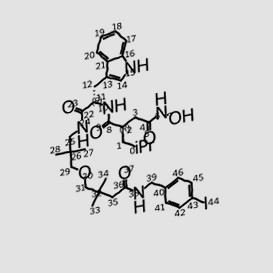 CC(C)C[C@H](CC(=O)NO)C(=O)N[C@@H](Cc1c[nH]c2ccccc12)C(=O)NCC(C)(C)COCC(C)(C)CC(=O)NCc1ccc(I)cc1